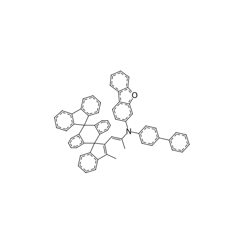 CC1=C(/C=C(\C)N(c2ccc(-c3ccccc3)cc2)c2ccc3c(c2)oc2ccccc23)C2(c3ccccc31)c1ccccc1C1(c3ccccc3-c3ccccc31)c1ccccc12